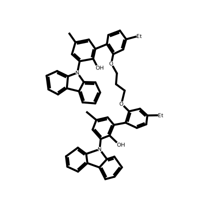 CCc1ccc(-c2cc(C)cc(-n3c4ccccc4c4ccccc43)c2O)c(OCCCOc2cc(CC)ccc2-c2cc(C)cc(-n3c4ccccc4c4ccccc43)c2O)c1